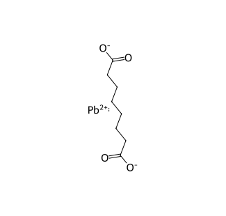 O=C([O-])CCCCCCC(=O)[O-].[Pb+2]